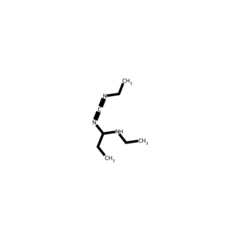 CCN=C=NC(CC)NCC